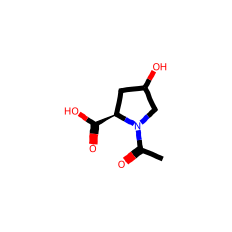 CC(=O)N1CC(O)C[C@@H]1C(=O)O